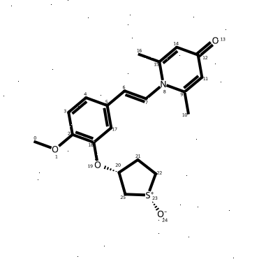 COc1ccc(/C=C/n2c(C)cc(=O)cc2C)cc1O[C@@H]1CC[S@+]([O-])C1